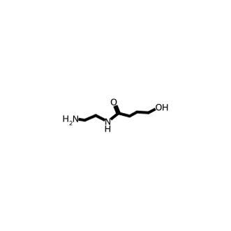 NCCNC(=O)CCCO